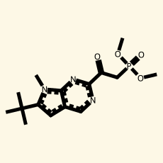 COP(=O)(CC(=O)c1ncc2cc(C(C)(C)C)n(C)c2n1)OC